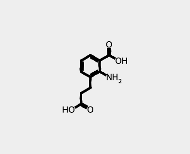 Nc1c(CCC(=O)O)cccc1C(=O)O